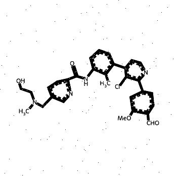 COc1cc(-c2nccc(-c3cccc(NC(=O)c4ccc(CN(C)CCO)cn4)c3C)c2Cl)ccc1C=O